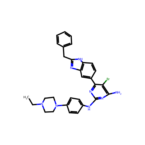 CCN1CCN(c2ccc(Nc3nc(N)c(Br)c(-c4ccc5[nH]c(Cc6ccccc6)nc5c4)n3)cc2)CC1